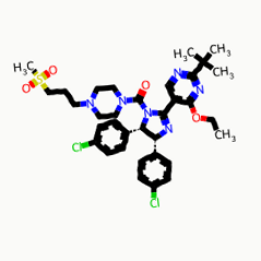 CCOc1nc(C(C)(C)C)ncc1C1=N[C@H](c2ccc(Cl)cc2)[C@H](c2ccc(Cl)cc2)N1C(=O)N1CCN(CCCS(C)(=O)=O)CC1